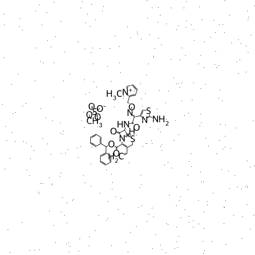 C=CC1=C(C(=O)OC(c2ccccc2)c2ccccc2)N2C(=O)C(NC(=O)C(=NOCc3cccc[n+]3C)c3csc(N)n3)[C@@H]2SC1.COS(=O)(=O)[O-]